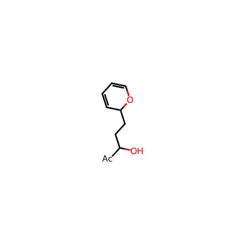 CC(=O)C(O)CCC1C=CC=CO1